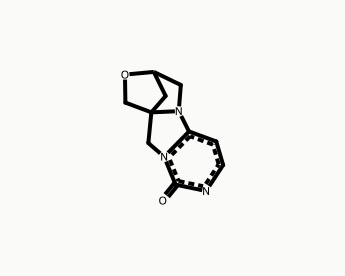 O=c1nccc2n1CC13COC(CN21)C3